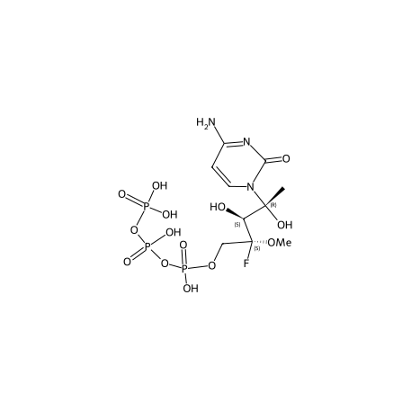 CO[C@](F)(COP(=O)(O)OP(=O)(O)OP(=O)(O)O)[C@@H](O)[C@@](C)(O)n1ccc(N)nc1=O